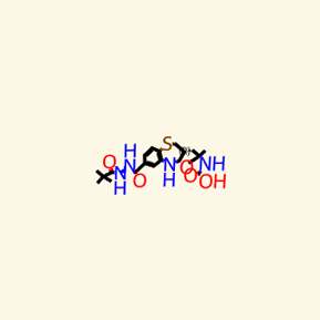 CC(C)(C[C@H]1CSc2ccc(C(=O)NNC(=O)C(C)(C)C)cc2NC1=O)NC(=O)O